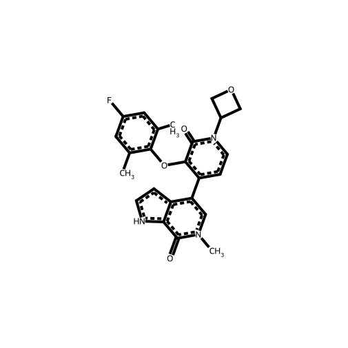 Cc1cc(F)cc(C)c1Oc1c(-c2cn(C)c(=O)c3[nH]ccc23)ccn(C2COC2)c1=O